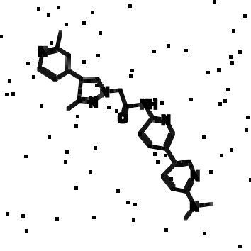 Cc1cc(-c2cn(CC(=O)Nc3ccc(-c4ccc(N(C)C)nc4)cn3)nc2C)ccn1